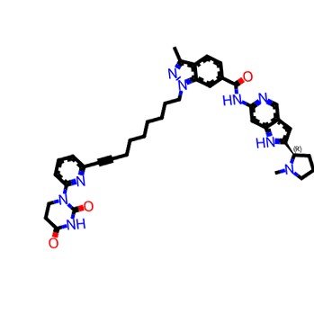 Cc1nn(CCCCCCCC#Cc2cccc(N3CCC(=O)NC3=O)n2)c2cc(C(=O)Nc3cc4[nH]c([C@H]5CCCN5C)cc4cn3)ccc12